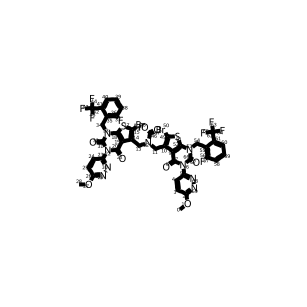 COc1ccc(-n2c(=O)c3c(CN(Cc4c(Br)sc5c4c(=O)n(-c4ccc(OC)nn4)c(=O)n5Cc4c(F)cccc4C(F)(F)F)C(=O)O)c(Br)sc3n(Cc3c(F)cccc3C(F)(F)F)c2=O)nn1